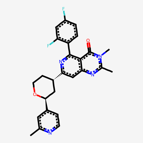 Cc1cc([C@@H]2C[C@@H](c3cc4nc(C)n(C)c(=O)c4c(-c4ccc(F)cc4F)n3)CCO2)ccn1